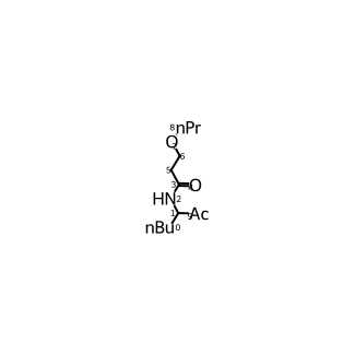 CCCCC(NC(=O)CCOCCC)C(C)=O